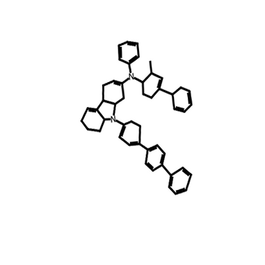 CC1C=C(C2C=CC=CC2)CCC1N(C1=CCC2C3=CCCCC3N(C3=CC=C(c4ccc(-c5ccccc5)cc4)CC3)C2C1)c1ccccc1